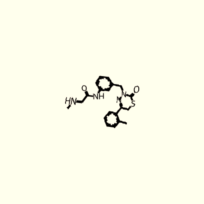 CNCC(=O)Nc1cccc(CN2N=C(c3ccccc3C)CSC2=O)c1